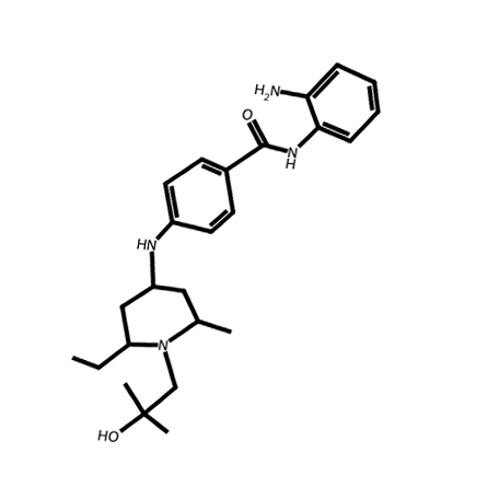 CCC1CC(Nc2ccc(C(=O)Nc3ccccc3N)cc2)CC(C)N1CC(C)(C)O